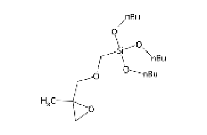 CCCCO[Si](COCC1(C)CO1)(OCCCC)OCCCC